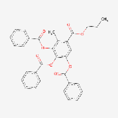 CCCOC(=O)c1cc(OC(=O)c2ccccc2)c(OC(=O)c2ccccc2)c(OC(=O)c2ccccc2)c1C